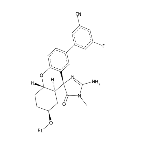 CCO[C@H]1CC[C@@H]2Oc3ccc(-c4cc(F)cc(C#N)c4)cc3[C@]3(N=C(N)N(C)C3=O)[C@H]2C1